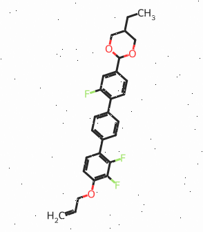 C=CCOc1ccc(-c2ccc(-c3ccc(C4OCC(CC)CO4)cc3F)cc2)c(F)c1F